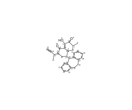 CC1CN2C(=C(O)C1=O)C(=O)N(C(C)C#N)CC2C1c2ccccc2CCc2ccccc21